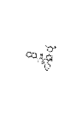 Cc1cc(F)cc(-c2cc(C(=O)N[C@H](C)c3ccc4ccccc4c3)c(N3CCOCC3)nn2)c1